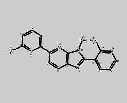 Cc1cccc(-c2ccc3nc(-c4cccnc4N)n(O)c3n2)n1